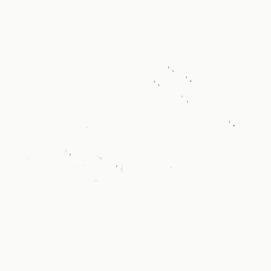 NC(=O)Cn1nnnc1SCC1=C(C(=O)O)N2C(=O)[C@@H]3[C@H]2C1OCN3C(=O)O